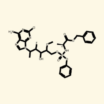 COC(COP(=O)(N[C@@H](C)C(=O)OCc1ccccc1)Oc1ccccc1)C(O)C(F)C(C)n1cnc2c(N)nc(Cl)nc21